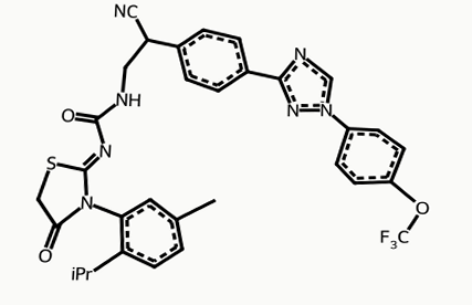 Cc1ccc(C(C)C)c(N2C(=O)CS/C2=N\C(=O)NCC(C#N)c2ccc(-c3ncn(-c4ccc(OC(F)(F)F)cc4)n3)cc2)c1